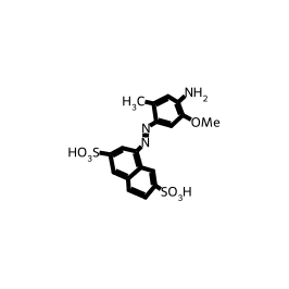 COc1cc(N=Nc2cc(S(=O)(=O)O)cc3ccc(S(=O)(=O)O)cc23)c(C)cc1N